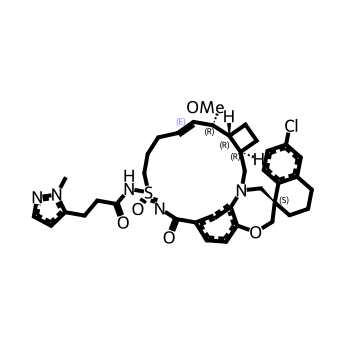 CO[C@H]1/C=C/CCCS(=O)(NC(=O)CCc2ccnn2C)=NC(=O)c2ccc3c(c2)N(C[C@@H]2CC[C@H]21)C[C@@]1(CCCc2cc(Cl)ccc21)CO3